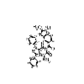 CCn1c(C)nc2cc(C(=O)N(Nc3cc(-c4ccccc4)nn3-c3ccccc3)C(=O)NN)ccc21